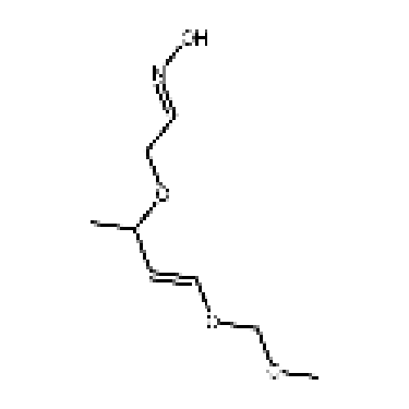 COCOC=CC(C)OCC=NO